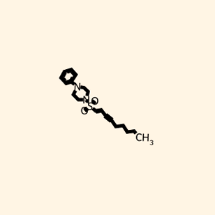 CCCCCC#CC=CS(=O)(=O)N1CCN(c2ccccc2)CC1